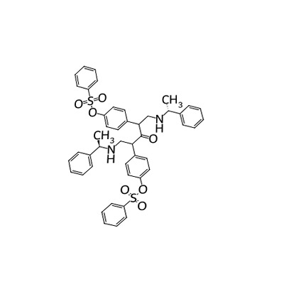 C[C@@H](NCC(C(=O)C(CN[C@H](C)c1ccccc1)c1ccc(OS(=O)(=O)c2ccccc2)cc1)c1ccc(OS(=O)(=O)c2ccccc2)cc1)c1ccccc1